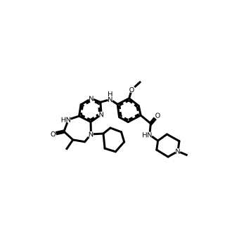 COc1cc(C(=O)NC2CCN(C)CC2)ccc1Nc1ncc2c(n1)N(C1CCCCC1)CC(C)C(=O)N2